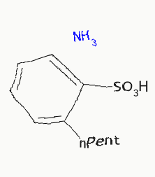 CCCCCc1ccccc1S(=O)(=O)O.N